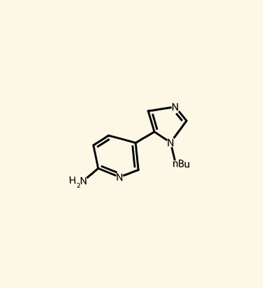 CCCCn1cncc1-c1ccc(N)nc1